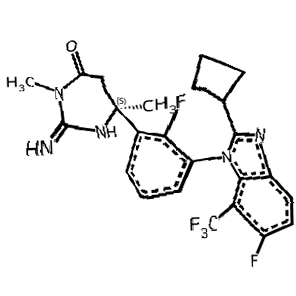 CN1C(=N)N[C@](C)(c2cccc(-n3c(C4CCC4)nc4ccc(F)c(C(F)(F)F)c43)c2F)CC1=O